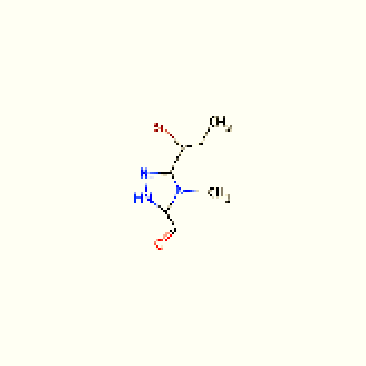 CCC(Br)C1=NNC(C=O)N1C